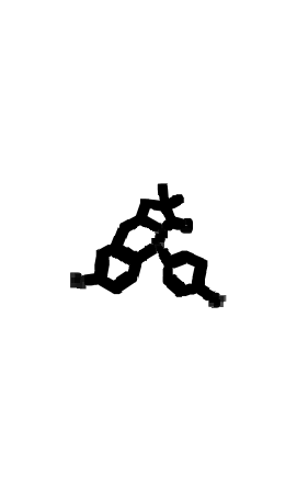 CC1(C)CC2Cc3cc(Br)ccc3N(c3ccc(Br)cc3)N2C1=O